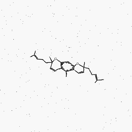 CC(C)=CCCC1(C)C=Cc2c(cc3c(c2C)C=CC(C)(CCC=C(C)C)O3)O1